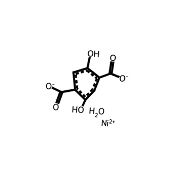 O.O=C([O-])c1cc(O)c(C(=O)[O-])cc1O.[Ni+2]